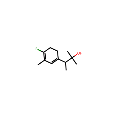 CC1=C(F)CCC(C(C)C(C)(C)O)=C1